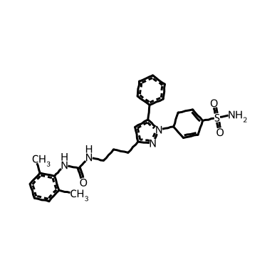 Cc1cccc(C)c1NC(=O)NCCCc1cc(-c2ccccc2)n(C2C=CC(S(N)(=O)=O)=CC2)n1